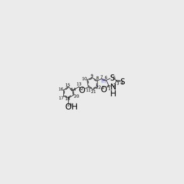 O=C1NC(=S)S/C1=C/c1ccc(OCc2cccc(O)c2)cc1